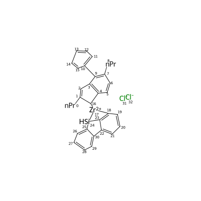 CCCC1=Cc2c(ccc(CCC)c2-c2ccccc2)[CH]1[Zr+2]1[c]2cccc3c2[SiH]1c1ccccc1-3.[Cl-].[Cl-]